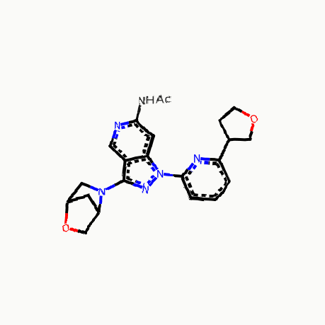 CC(=O)Nc1cc2c(cn1)c(N1CC3CC1CO3)nn2-c1cccc(C2CCOC2)n1